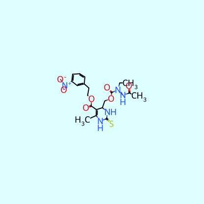 CCN(NC(C)=O)C(=O)OCC1NC(=S)NC(C)=C1C(=O)OCCc1cccc([N+](=O)[O-])c1